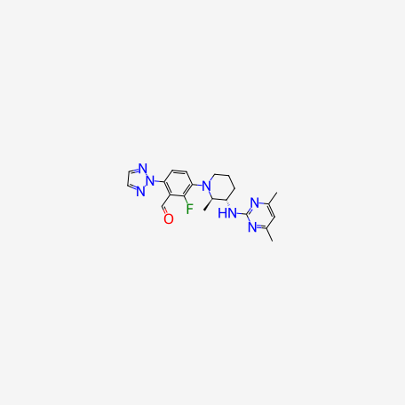 Cc1cc(C)nc(N[C@H]2CCCN(c3ccc(-n4nccn4)c(C=O)c3F)[C@@H]2C)n1